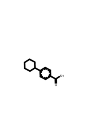 O=C(S)c1ccc(C2CCCCC2)cc1